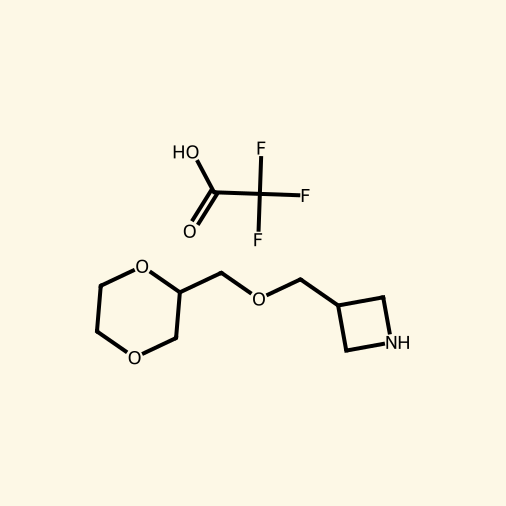 C1COC(COCC2CNC2)CO1.O=C(O)C(F)(F)F